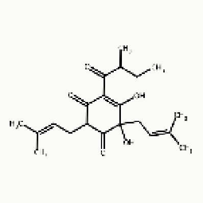 CCC(C)C(=O)C1=C(O)C(O)(CC=C(C)C)C(=O)C(CC=C(C)C)C1=O